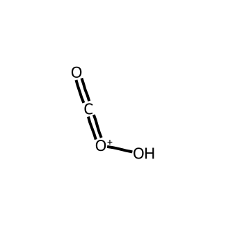 O=C=[O+]O